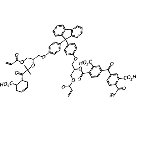 C=CC(=O)OCC(COc1ccc(C2(c3ccc(OCC(COC(=O)C=C)OC(C)(C)C(=O)C4CC=CCC4C(=O)O)cc3)c3ccccc3-c3ccccc32)cc1)OC(=O)c1ccc(C(=O)c2ccc(C(=O)C(C)C)c(C(=O)O)c2)cc1C(=O)O